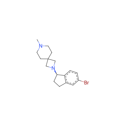 CN1CCC2(CC1)CN([C@@H]1CCc3cc(Br)ccc31)C2